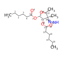 CCCCCC(=O)OCC(OC(=O)CCCCC)C(C)(N=N)C(C)=O